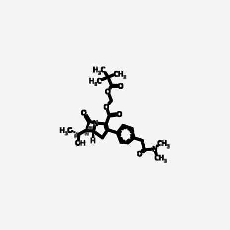 C[C@@H](O)[C@H]1C(=O)N2C(C(=O)OCOC(=O)C(C)(C)C)=C(c3ccc(CC(=O)N(C)C)cc3)C[C@H]12